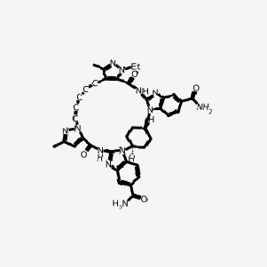 CCn1nc(C)c2c1C(=O)Nc1nc3cc(C(N)=O)ccc3n1[C@H]1CC[C@@H](CC1)n1c(nc3cc(C(N)=O)ccc31)NC(=O)c1cc(C)nn1CCCCC2